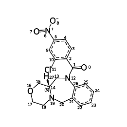 O=C(c1ccc([N+](=O)[O-])cc1Cl)N1C[C@H]2COCCN2Cc2ccccc21